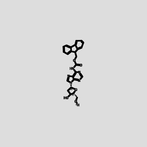 [2H]OC[C@H]1O[C@@H](n2cnc3c(NC(=O)OCC4c5ccccc5-c5ccccc54)ncnc32)CC1O